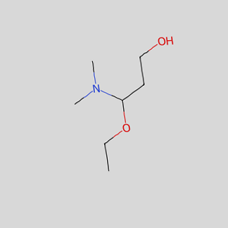 CCOC(CCO)N(C)C